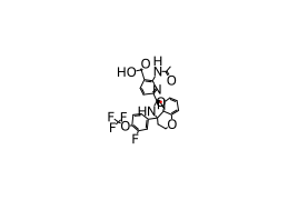 CC(=O)Nc1nc(C(=O)N[C@]2(c3ccc(OC(F)(F)F)c(F)c3)CCOc3cccnc32)ccc1C(=O)O